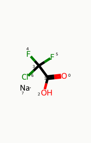 O=C(O)C(F)(F)Cl.[Na]